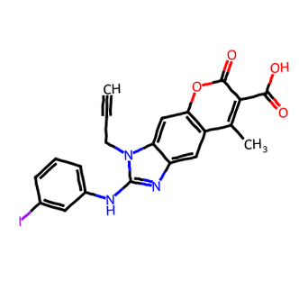 C#CCn1c(Nc2cccc(I)c2)nc2cc3c(C)c(C(=O)O)c(=O)oc3cc21